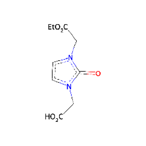 CCOC(=O)Cn1ccn(CC(=O)O)c1=O